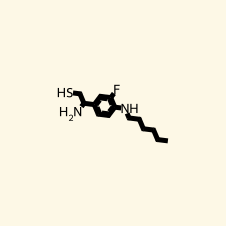 CCCCCCNc1ccc(C(N)CS)cc1F